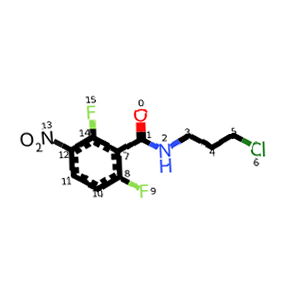 O=C(NCCCCl)c1c(F)ccc([N+](=O)[O-])c1F